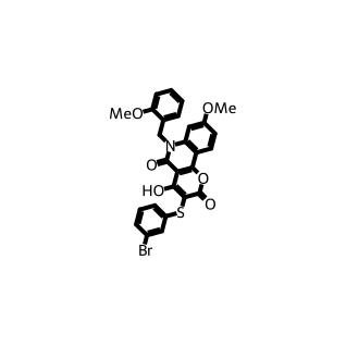 COc1ccc2c3oc(=O)c(Sc4cccc(Br)c4)c(O)c3c(=O)n(Cc3ccccc3OC)c2c1